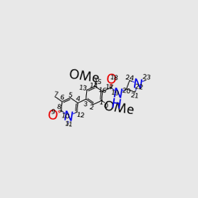 COc1cc(-c2cc(C)c(=O)n(C)c2)cc(OC)c1C(=O)NC1CN(C)C1